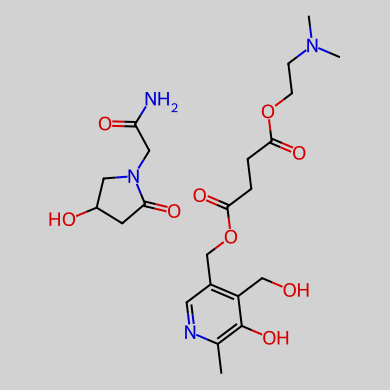 Cc1ncc(COC(=O)CCC(=O)OCCN(C)C)c(CO)c1O.NC(=O)CN1CC(O)CC1=O